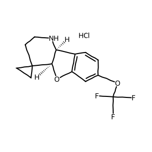 Cl.FC(F)(F)Oc1ccc2c(c1)O[C@@H]1[C@H]2NCCC12CC2